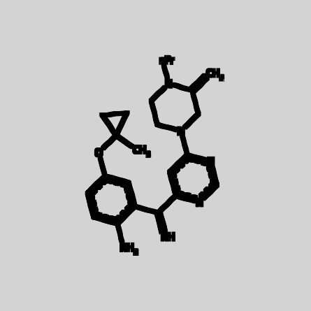 C=C1CN(c2cc(C(=N)c3cc(OC4(C)CC4)ccc3N)ncn2)CCN1CCC